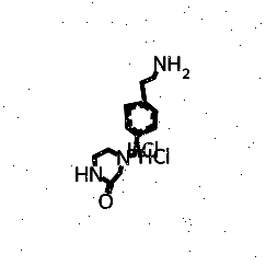 Cl.Cl.NCCc1ccc(CN2CCNC(=O)C2)cc1